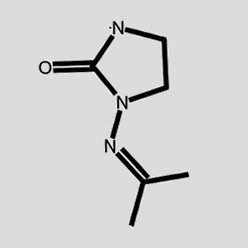 CC(C)=NN1CC[N]C1=O